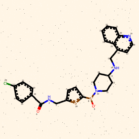 O=C(NCc1ccc([S+]([O-])N2CCC(NCc3ccnc4ccccc34)CC2)s1)c1ccc(Cl)cc1